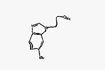 COCCn1cnc2ccc(C(C)(C)C)cc21